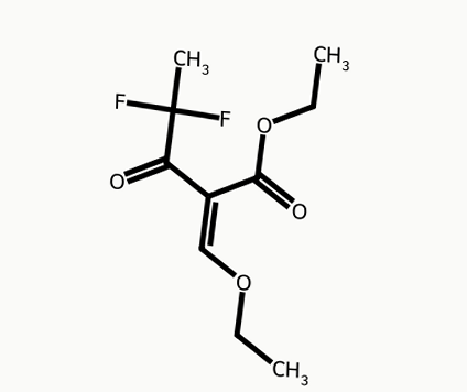 CCOC=C(C(=O)OCC)C(=O)C(C)(F)F